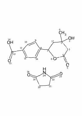 CC1(O)CC(=O)OC(c2ccc(C(=O)O)cc2)C1.O=C1CCC(=O)N1